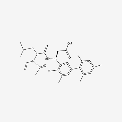 C=CN(C(C)=O)C(CC(C)C)C(=O)N[C@@H](CC(=O)O)c1cc(-c2c(C)cc(I)cc2C)cc(C)c1F